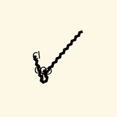 CCCCCCCCCCCCCCCCCCOC(=O)N1CCCCC1CCOCCCCCl